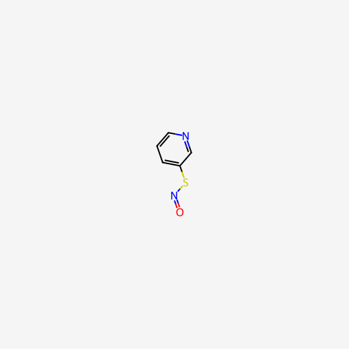 O=NSc1cccnc1